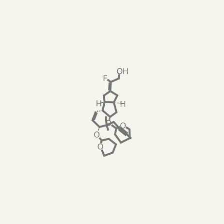 CC#CCC(C)(C)[C@@H](/C=C\[C@@H]1[C@H]2CC(=C(F)CO)C[C@H]2C[C@H]1OC1CCCCO1)OC1CCCCO1